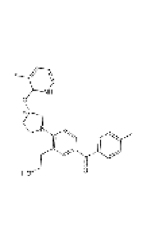 Cc1ccc(C(=O)c2ccc(N3CC[C@H](OC4NC=CC=C4F)C3)c(CCO)c2)cc1